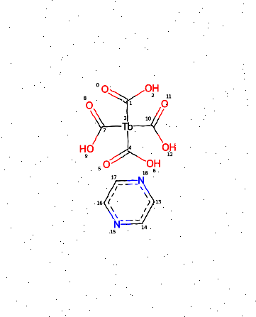 O=[C](O)[Tb]([C](=O)O)([C](=O)O)[C](=O)O.c1cnccn1